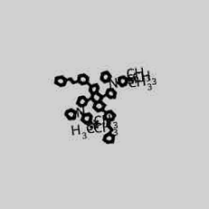 C[Si](C)(C)c1ccc(N(c2ccccc2)c2cccc(-c3c4ccc(-c5cccc(/C=C/c6ccccc6)c5)cc4c(-c4cccc(N(c5ccccc5)c5ccc([Si](C)(C)C)cc5)c4)c4ccc(-c5cccc(/C=C/c6ccccc6)c5)cc34)c2)cc1